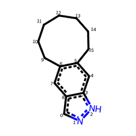 c1n[nH]c2cc3c(cc12)CCCCCCC3